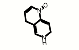 O=[N+]1C=CCC2=CNCC=C21